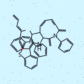 C=C/C=C(\C)c1ccccc1N(c1ccccc1)C(C)C1/C=C\C=C/C(=C)N(c2ccccc2)C(=C)C1Nc1cccc2sc3ccccc3c12